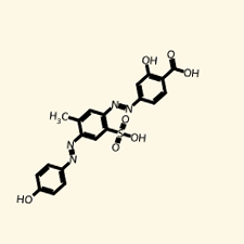 Cc1cc(N=Nc2ccc(C(=O)O)c(O)c2)c(S(=O)(=O)O)cc1N=Nc1ccc(O)cc1